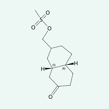 CS(=O)(=O)OCC1CC[C@@H]2CCC(=O)C[C@@H]2C1